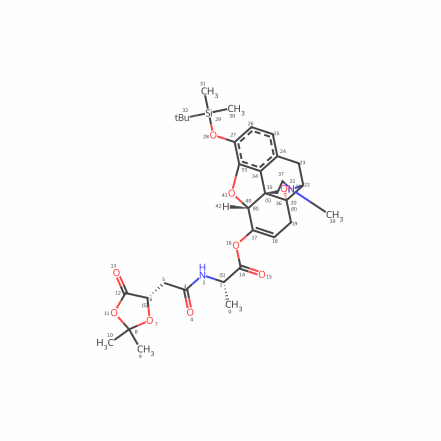 C[C@H](NC(=O)C[C@@H]1OC(C)(C)OC1=O)C(=O)OC1=CC[C@]2(O)C3Cc4ccc(O[Si](C)(C)C(C)(C)C)c5c4[C@@]2(CCN3C)[C@H]1O5